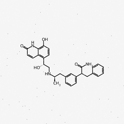 C[C@H](Cc1cccc(C(Cc2ccccc2)C(N)=O)c1)NC[C@H](O)c1ccc(O)c2[nH]c(=O)ccc12